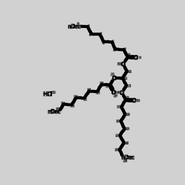 CCCCCCCCCCCCCCCCCC(=O)OCC(COC(=O)CCCCCCCCCCCCCCCCC)OC(=O)CCCCCCCCCCCCCCCCC.Cl